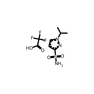 CC(C)n1ccc(S(N)(=O)=O)n1.O=C(O)C(F)(F)F